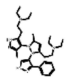 CCN(CC)CCC1=[C]C(C)N(c2c(C)n[nH]c2CCN(CC)CC)N1c1c[nH]nc1-c1ccccc1